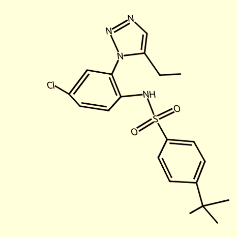 CCc1cnnn1-c1cc(Cl)ccc1NS(=O)(=O)c1ccc(C(C)(C)C)cc1